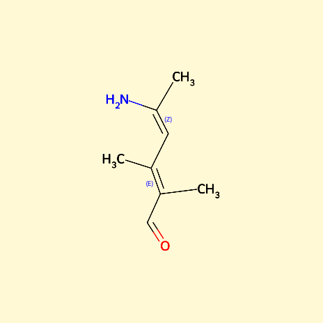 C/C(N)=C/C(C)=C(\C)C=O